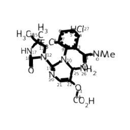 CNC(=O)c1cccc(C(F)(F)F)c1N1C(N2CC(C)(C)NC2=O)=NC=C(OC(=O)O)C1N.Cl